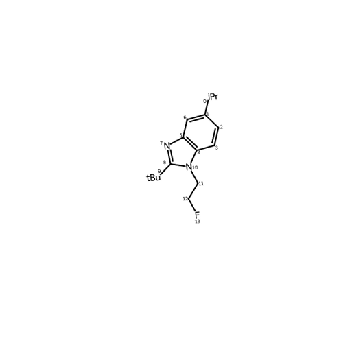 CC(C)c1ccc2c(c1)nc(C(C)(C)C)n2CCF